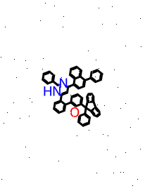 C1=C(c2ccccc2-c2cccc3c2Oc2ccccc2C32c3ccccc3-c3ccccc32)NC(c2ccccc2)N=C1c1ccc(-c2ccccc2)c2ccccc12